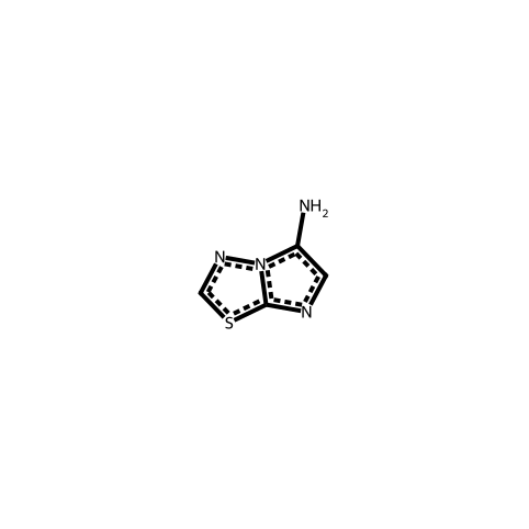 Nc1cnc2scnn12